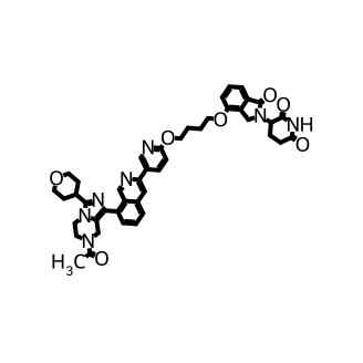 CC(=O)N1CCn2c(C3CCOCC3)nc(-c3cccc4cc(-c5ccc(OCCCCOc6cccc7c6CN(C6CCC(=O)NC6=O)C7=O)nc5)ncc34)c2C1